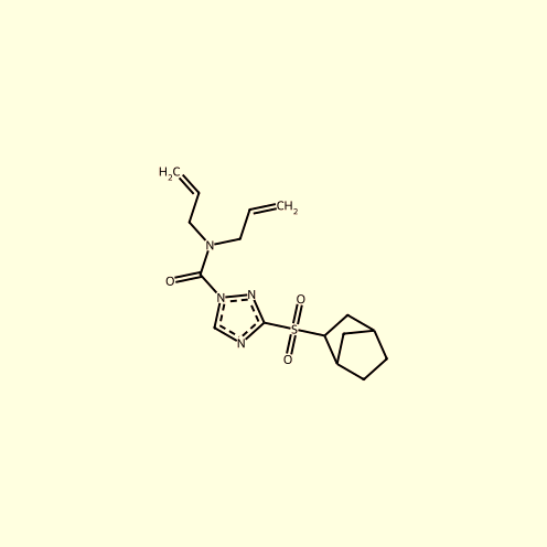 C=CCN(CC=C)C(=O)n1cnc(S(=O)(=O)C2CC3CCC2C3)n1